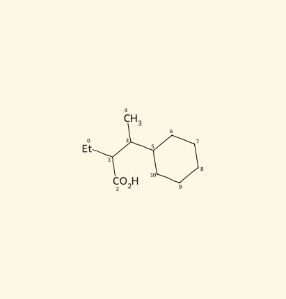 CCC(C(=O)O)C(C)C1CCCCC1